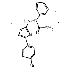 NC(=O)N(Nc1nc(-c2ccc(Br)cc2)cs1)c1ccccc1